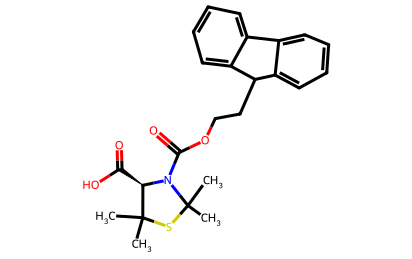 CC1(C)SC(C)(C)N(C(=O)OCCC2c3ccccc3-c3ccccc32)[C@@H]1C(=O)O